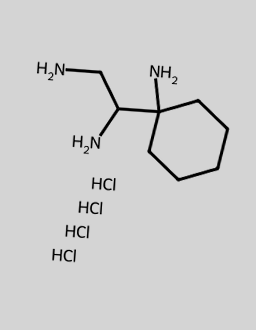 Cl.Cl.Cl.Cl.NCC(N)C1(N)CCCCC1